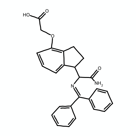 NC(=O)C(N=C(c1ccccc1)c1ccccc1)C1CCc2c(OCC(=O)O)cccc21